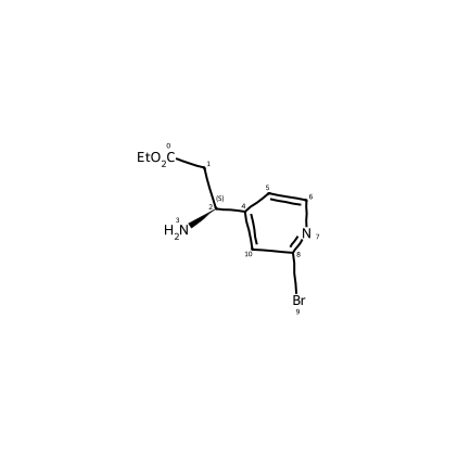 CCOC(=O)C[C@H](N)c1ccnc(Br)c1